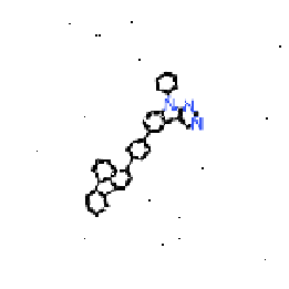 c1ccc(-n2c3ccc(-c4ccc(-c5ccc6c7c(cccc57)-c5ccccc5-6)cc4)cc3c3cncnc32)cc1